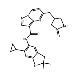 CC1(C)Cc2cc(NC(=O)c3cnn4ccc(CC5CNC(=O)C5)nc34)c(C3CC3)cc2O1